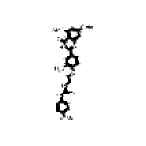 COc1ccc(NC(=O)NCCOc2ccc(-c3nc4cc(OC)cc(OC)c4c(=O)[nH]3)cc2C)cc1